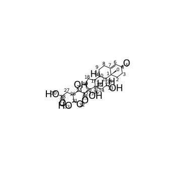 C[C@]12CCC(=O)C=C1CC[C@@H]1[C@@H]2C(O)C[C@@]2(C)[C@H]1CC[C@]2(O)C(=O)C(O)C(CC(=O)O)C(=O)O